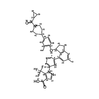 Cc1cc2c(c(-c3cccc(-n4ncc(C(=O)O)c4C(F)(F)F)n3)c1)C(Oc1ccc(C3CCN(C(=O)C4CC4)CC3)cc1C)CC2